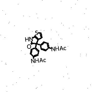 CC(=O)Nc1ccc(C2(c3ccc(NC(C)=O)cc3)C(=O)Nc3sccc32)cc1